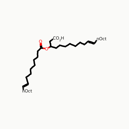 CCCCCCCCC=CCCCCCCCC(=O)OC(CCCCCCCC=CCCCCCCCC)CC(=O)O